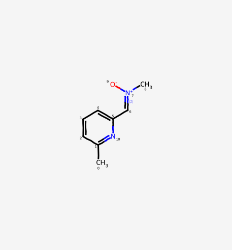 Cc1cccc(/C=[N+](/C)[O-])n1